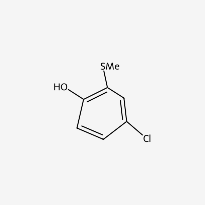 CSc1cc(Cl)ccc1O